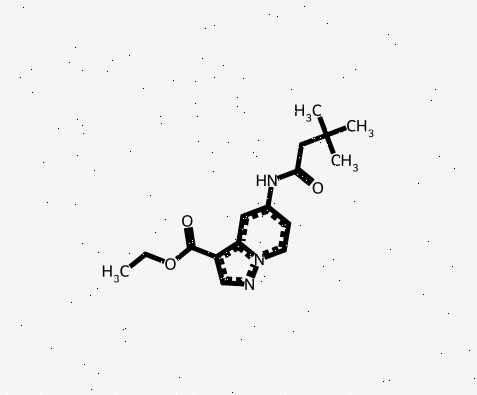 CCOC(=O)c1cnn2ccc(NC(=O)CC(C)(C)C)cc12